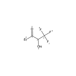 CCC(=O)C(O)C(F)(F)F